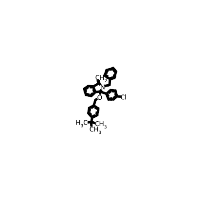 C=C1c2ccccc2C(OCc2ccc(C(C)(C)C)cc2)(c2ccc(Cl)cc2)N1Cc1ccccc1